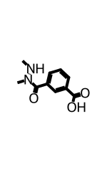 CNN(C)C(=O)c1cccc(C(=O)O)c1